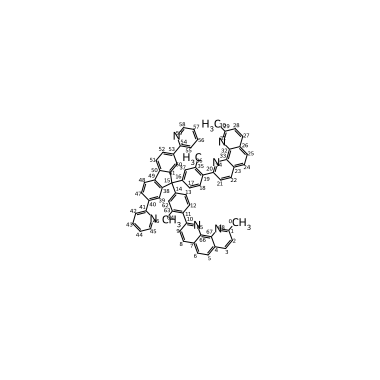 Cc1ccc2ccc3ccc(-c4ccc(C5(c6ccc(-c7ccc8ccc9ccc(C)nc9c8n7)c(C)c6)c6cc(-c7ccccn7)ccc6-c6ccc(-c7ccccn7)cc65)cc4C)nc3c2n1